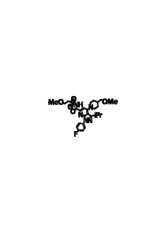 COCCS(=O)(=O)NC(=O)c1cc(N2CCC(COC)CC2)c2c(C(C)C)nn(-c3ccc(F)cc3)c2n1